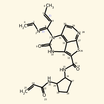 C=C/N=C(\C=C\C)N1C(=O)Nc2c(C(=O)NC3CCCC3NC(=O)C=C)sc3nccc1c23